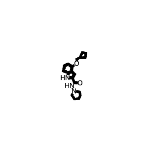 O=C(NN1CCCCC1)c1cc2c(OCC3CCC3)cccc2[nH]1